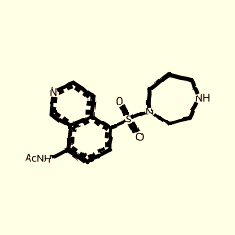 CC(=O)Nc1ccc(S(=O)(=O)N2CCCNCC2)c2ccncc12